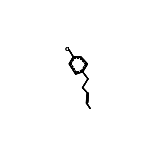 CC=CCCc1ccc(Cl)cc1